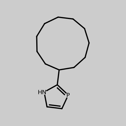 c1cpc(C2CCCCCCCCCC2)[nH]1